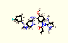 C=CC(=O)Nc1cc(Nc2cc3c(cn2)ncn3-c2cccc(F)c2)c(OC)cc1N(C)C1CCN(C)C1